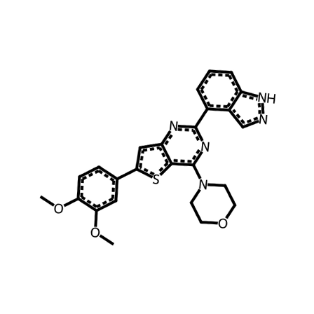 COc1ccc(-c2cc3nc(-c4cccc5[nH]ncc45)nc(N4CCOCC4)c3s2)cc1OC